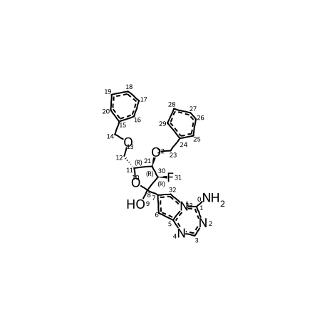 Nc1ncnc2cc(C3(O)O[C@H](COCc4ccccc4)[C@@H](OCc4ccccc4)[C@H]3F)cn12